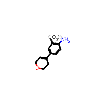 Nc1ccc(C2=CCOCC2)cc1C(=O)O